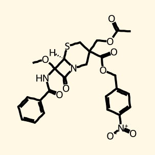 COC1(NC(=O)c2ccccc2)C(=O)N2CC(COC(C)=O)(C(=O)OCc3ccc([N+](=O)[O-])cc3)CS[C@@H]21